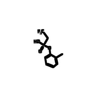 Cc1ccccc1OP(=O)(O)CC(F)(F)F